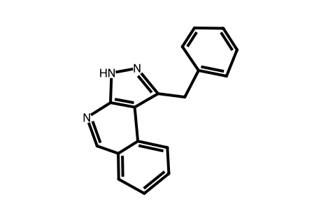 c1ccc(Cc2n[nH]c3ncc4ccccc4c23)cc1